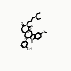 CCN(CC)CCCN1C(=O)CCC2C[C@H](c3cccc(O)c3)c3[nH]c4ccc(OC)cc4c3C[C@@]2(C)C1=O